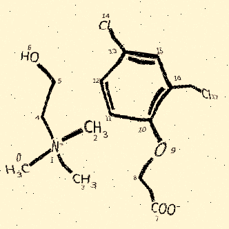 C[N+](C)(C)CCO.O=C([O-])COc1ccc(Cl)cc1Cl